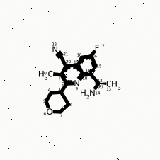 Cc1c(C2CCOCC2)nc2c([C@@H](C)N)cc(F)cc2c1C#N